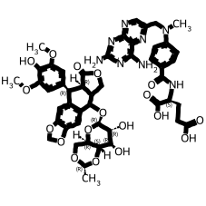 CN(Cc1cnc2nc(N)nc(N)c2n1)c1ccc(C(=O)N[C@@H](CCC(=O)O)C(=O)O)cc1.COc1cc([C@@H]2c3cc4c(cc3C(O[C@@H]3O[C@@H]5CO[C@@H](C)O[C@H]5[C@H](O)[C@H]3O)C3COC(=O)[C@@H]32)OCO4)cc(OC)c1O